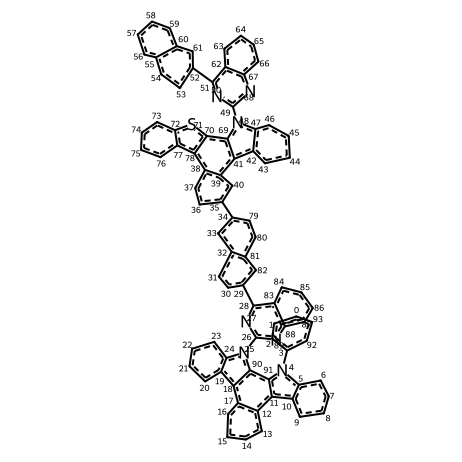 c1ccc(-n2c3ccccc3c3c4ccccc4c4c5ccccc5n(-c5nc(-c6ccc7cc(-c8ccc9c(c8)c8c%10ccccc%10n(-c%10nc(-c%11ccc%12ccccc%12c%11)c%11ccccc%11n%10)c8c8sc%10ccccc%10c98)ccc7c6)c6ccccc6n5)c4c32)cc1